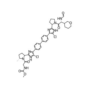 COC(=O)NCC(=O)N1C(c2nc(-c3ccc(-c4ccc(-c5nc(C6CCCN6C(=O)[C@H](NC=O)C6CCCOC6)[nH]c5Cl)cc4)cc3)c(Cl)[nH]2)CC[C@H]1C